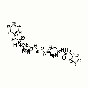 O=C(Cc1cccs1)Nc1ccc(CCCCc2nnc(NC(=O)Cc3ccccc3)s2)nn1